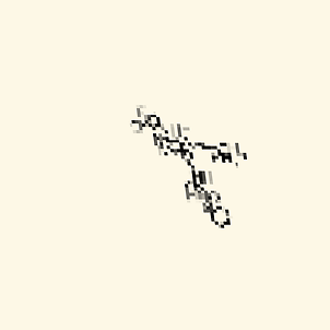 CN(C)C/C=C/CNc1cc2c(Nc3ccc(F)c(Cl)c3)ncnc2cc1OCCCNC(=O)CNC(=O)OC1CCC=CCCC1